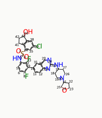 O=S(=O)(Nc1ccc(F)c(-c2ccc3nc(NC4CCN(C5CCOC5)CC4)ncc3c2)c1F)c1cc(Cl)cc2c1CC[C@H]2O